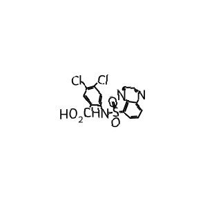 O=C(O)c1cc(Cl)c(Cl)cc1NS(=O)(=O)c1cccc2nccnc12